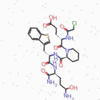 NC(=O)[C@H](CCC(N)O)NC(=O)[C@H](Cc1csc2ccccc12)NC(=O)[C@@H]1CCCCN1C(=O)[C@H](CCC(=O)O)NC(=O)CCl